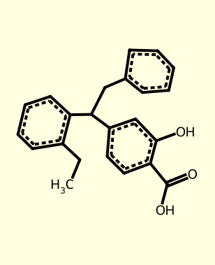 CCc1ccccc1C(Cc1ccccc1)c1ccc(C(=O)O)c(O)c1